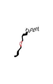 CC=CCOCCCCCCCC